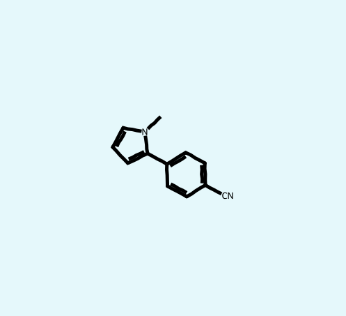 Cn1cccc1-c1ccc(C#N)cc1